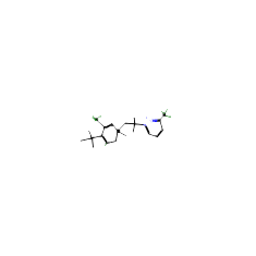 CC1(CC(C)(C)c2cccc(C(F)(F)F)n2)C=C(C(F)(F)F)C(C(C)(C)C)=C(F)C1